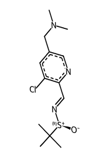 CN(C)Cc1cnc(C=N[S@@+]([O-])C(C)(C)C)c(Cl)c1